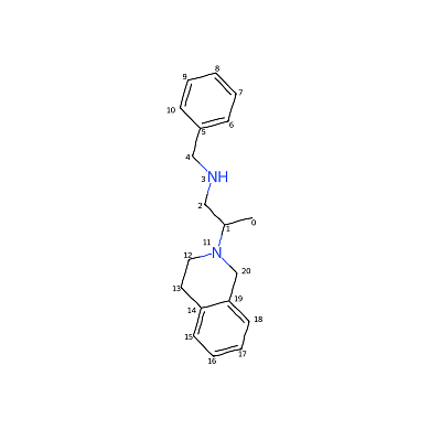 CC(CNCc1ccccc1)N1CCc2ccccc2C1